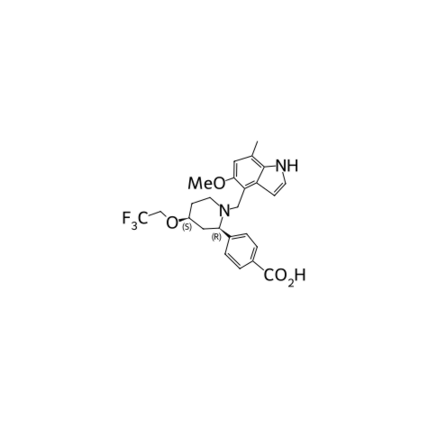 COc1cc(C)c2[nH]ccc2c1CN1CC[C@H](OCC(F)(F)F)C[C@@H]1c1ccc(C(=O)O)cc1